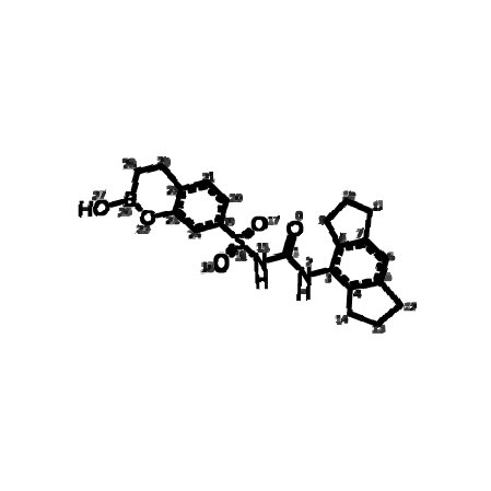 O=C(Nc1c2c(cc3c1CCC3)CCC2)NS(=O)(=O)c1ccc2c(c1)OB(O)CC2